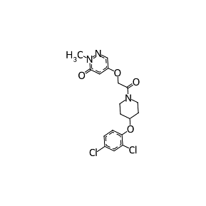 Cn1ncc(OCC(=O)N2CCC(Oc3ccc(Cl)cc3Cl)CC2)cc1=O